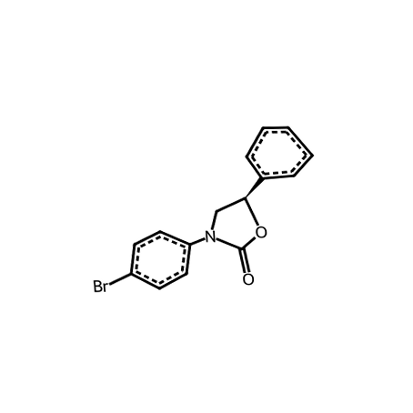 O=C1O[C@H](c2ccccc2)CN1c1ccc(Br)cc1